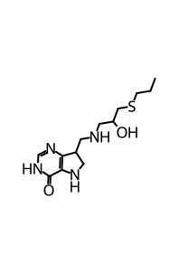 CCCSCC(O)CNCC1CNc2c1nc[nH]c2=O